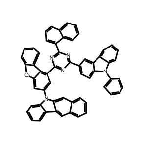 c1ccc(-n2c3ccccc3c3cc(-c4nc(-c5cccc6ccccc56)nc(-c5cc(-n6c7ccccc7c7cc8ccccc8cc76)cc6oc7ccccc7c56)n4)ccc32)cc1